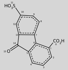 O=C(O)c1cccc2c1-c1ccc(S(=O)(=O)O)cc1C2=O